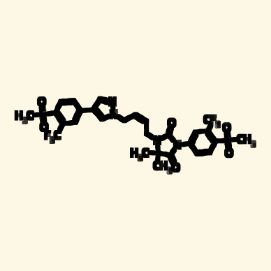 CC1(C)C(=O)N(c2ccc(S(C)(=O)=O)c(C(F)(F)F)c2)C(=O)N1C/C=C\Cn1cc(-c2ccc(S(C)(=O)=O)c(C(F)(F)F)c2)cn1